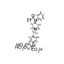 CCC(=O)N(c1ccccc1)C1CCN(CCc2ccc(OC(CC(=O)O)(CC(=O)O)C(=O)O)cc2)CC1